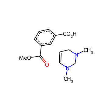 CN1C=CCN(C)C1.COC(=O)c1cccc(C(=O)O)c1